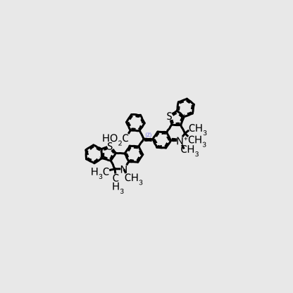 CN1c2ccc(/C(c3ccccc3C(=O)O)=c3\ccc4c(c3)-c3sc5ccccc5c3C(C)(C)[N+]=4C)cc2-c2sc3ccccc3c2C1(C)C